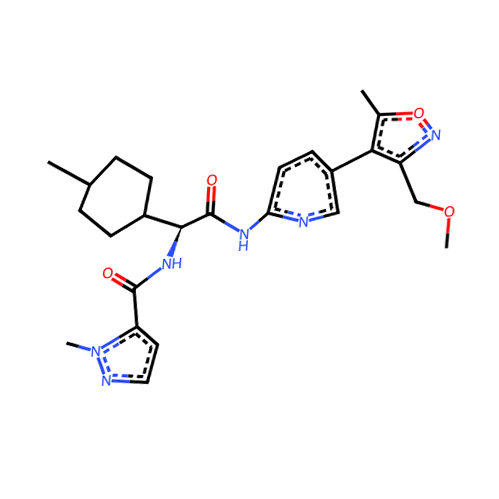 COCc1noc(C)c1-c1ccc(NC(=O)[C@@H](NC(=O)c2ccnn2C)C2CCC(C)CC2)nc1